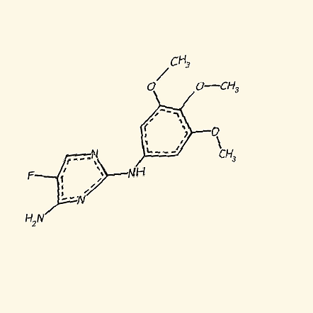 COc1cc(Nc2ncc(F)c(N)n2)cc(OC)c1OC